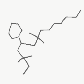 C[CH]C(C)(C)CC(CC(C)(C)CCCCCCC)N1CCCCC1